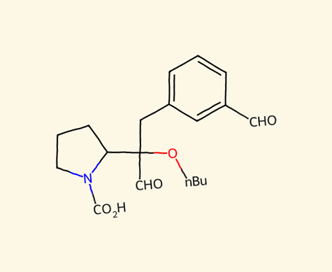 CCCCOC(C=O)(Cc1cccc(C=O)c1)C1CCCN1C(=O)O